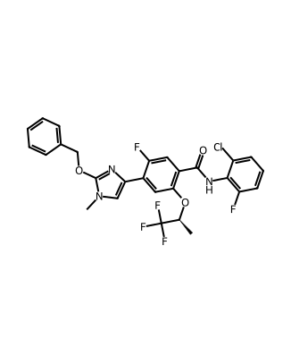 C[C@H](Oc1cc(-c2cn(C)c(OCc3ccccc3)n2)c(F)cc1C(=O)Nc1c(F)cccc1Cl)C(F)(F)F